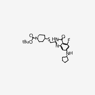 CC(C)(C)OC(=O)N1CCC(SCc2nc3cc(NC4CCCC4)cc(F)c3c(=O)[nH]2)CC1